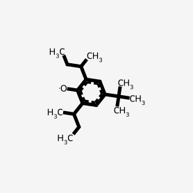 CCC(C)c1cc(C(C)(C)C)cc(C(C)CC)c1[O]